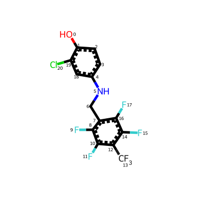 Oc1ccc(NCc2c(F)c(F)c(C(F)(F)F)c(F)c2F)cc1Cl